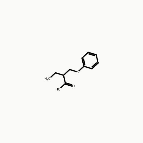 CCC(CSc1ccccc1)C(=O)O